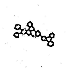 N#Cc1cc2nc(-c3ccccc3)c(-c3ccccc3)nc2c2c1c(-c1ccc(-c3ccc4c5ccccc5c5ccccc5c4c3)cc1)nc1ccccc12